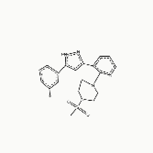 CS(=O)(=O)N1CCN(c2ncccc2-c2cc(-c3cccc(F)c3)[nH]n2)CC1